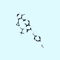 CCSc1ccc(CNc2nc3cnc(-c4c(C)ncnc4C4CC4)nc3n(C(C)C(F)(F)F)c2=O)nc1